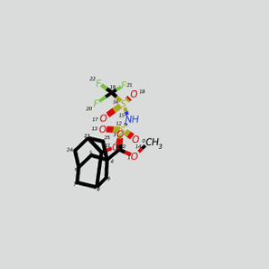 COC(=O)C12CC3CC(C1)C(OS(=O)(=O)NS(=O)(=O)C(F)(F)F)C(C3)C2